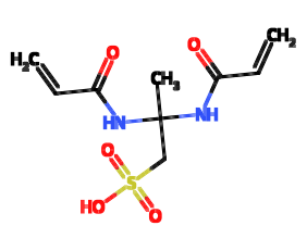 C=CC(=O)NC(C)(CS(=O)(=O)O)NC(=O)C=C